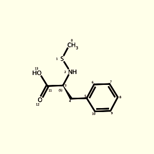 CSN[C@@H](Cc1ccccc1)C(=O)O